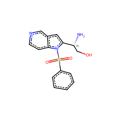 N[C@H](CO)c1cc2cnccc2n1S(=O)(=O)c1ccccc1